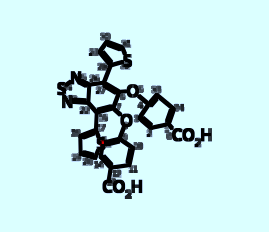 O=C(O)c1ccc(Oc2c(Oc3ccc(C(=O)O)cc3)c(-c3cccs3)c3nsnc3c2-c2cccs2)cc1